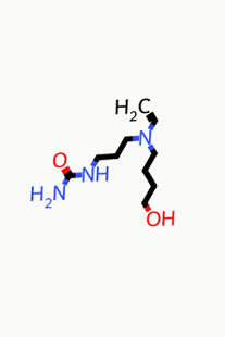 C=CN(CCCCO)CCCNC(N)=O